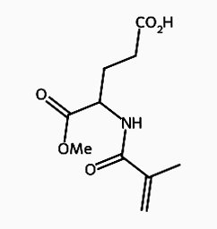 C=C(C)C(=O)NC(CCC(=O)O)C(=O)OC